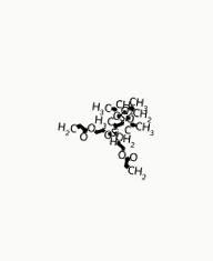 C=CC(=O)OCCO[SiH](OCCOC(=O)C=C)C(C)C[Si](OC(=C)C)(OC(=C)C)OC(=C)C